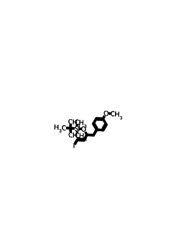 COc1ccc(CC(/C=C/I)O[Si](C)(C)C(C)(C)C)cc1